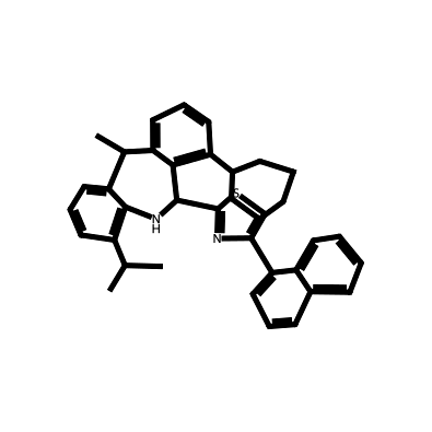 CC(C)c1cccc2c1NC(c1nc(-c3cccc4ccccc34)cs1)c1c(C3CCCCC3)cccc1C2C